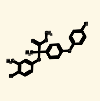 COC(=O)C(C)(Oc1ccc(Cl)c(C)c1)c1ccc(Oc2ccc(Cl)cc2)cc1